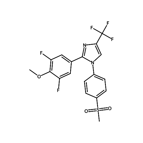 COc1c(F)cc(-c2nc(C(F)(F)F)cn2-c2ccc(S(C)(=O)=O)cc2)cc1F